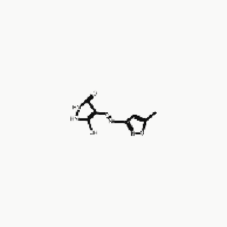 Cc1cc(N=Nc2c(O)[nH][nH]c2=O)no1